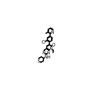 CCn1c(=O)c(-c2ccc(-c3ncccc3C)cc2Cl)cc2cnc(NC3CCSCC3)nc21